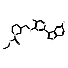 CCOC(=O)N1CCCC(CNc2nc(-c3c[nH]c4ncc(Cl)cc34)ncc2F)C1